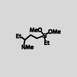 CCC(CC[Si](CC)(OC)OC)NC